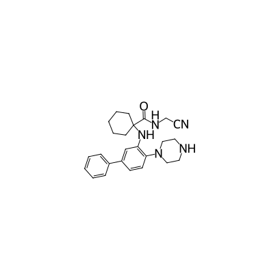 N#CCNC(=O)C1(Nc2cc(-c3ccccc3)ccc2N2CCNCC2)CCCCC1